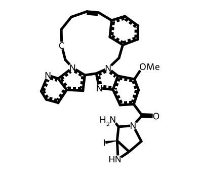 COc1cc(C(=O)N2CC3N[C@]3(I)C2N)cc2nc3n(c12)Cc1cccc(c1)/C=C\CCCCn1c-3cc2cccnc21